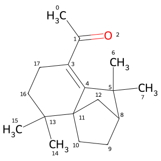 CC(=O)C1=C2C(C)(C)C3CCC2(C3)C(C)(C)CC1